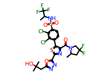 CC1CC(F)(F)CN1C(=O)c1nc(-c2nnc(CC(C)(C)O)o2)sc1-c1ccc(S(=O)(=O)NC(C)C(F)(F)F)c(Cl)c1Cl